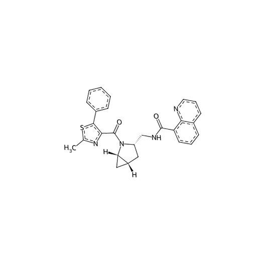 Cc1nc(C(=O)N2[C@H](CNC(=O)c3cccc4cccnc34)C[C@@H]3C[C@@H]32)c(-c2ccccc2)s1